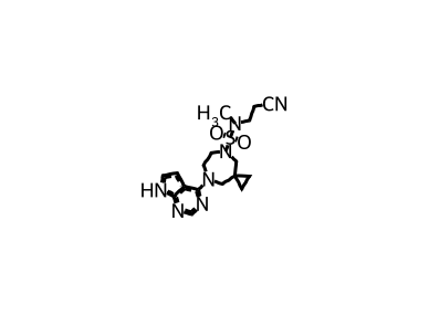 CN(CCC#N)S(=O)(=O)N1CCN(c2ncnc3[nH]ccc23)CC2(CC2)C1